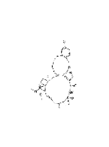 CO[C@@]1(C(=O)N(C)C)/C=C/C[C@H](C)[C@@H](C)S(=O)(=O)NC(=O)c2ccc3c(c2)N(CCCCc2cc(Cl)ccc2CO3)C[C@@H]2CC[C@H]21